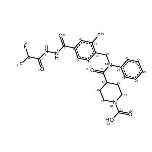 O=C(NNC(=O)C(F)F)c1ccc(CN(C(=O)C2CCN(C(=O)O)CC2)c2ccccc2)c(F)c1